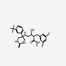 C=C1NCC(NCC(O)C(Cc2cc(F)cc(F)c2)C(=O)NC)(c2cccc(C(C)(C)C)c2)CN1